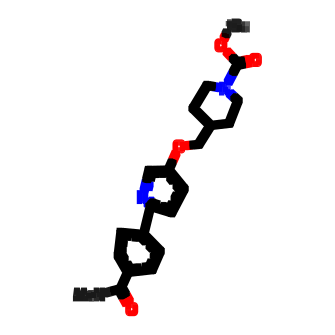 CNC(=O)c1ccc(-c2ccc(OCC3CCN(C(=O)OC(C)(C)C)CC3)cn2)cc1